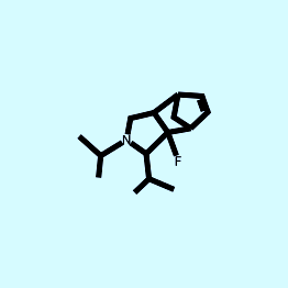 CC(C)C1N(C(C)C)CC2C3C=CC(C3)C21F